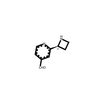 O=Cc1ccnc([C@@H]2CCN2)c1